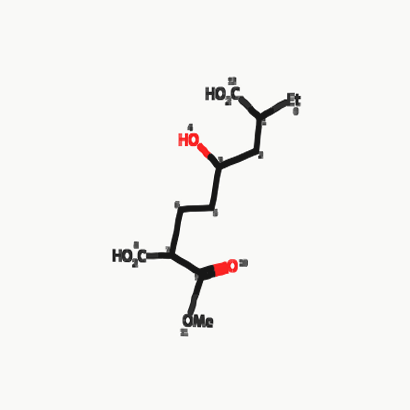 CCC(CC(O)CCC(C(=O)O)C(=O)OC)C(=O)O